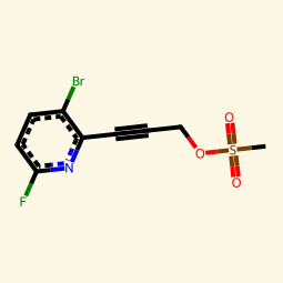 CS(=O)(=O)OCC#Cc1nc(F)ccc1Br